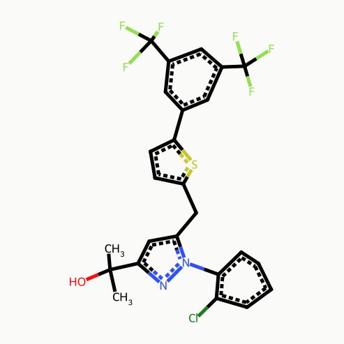 CC(C)(O)c1cc(Cc2ccc(-c3cc(C(F)(F)F)cc(C(F)(F)F)c3)s2)n(-c2ccccc2Cl)n1